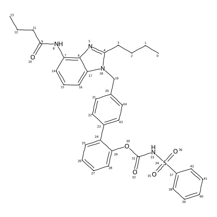 CCCCc1nc2c(NC(=O)CCC)cccc2n1Cc1ccc(-c2ccccc2OC(=O)NS(=O)(=O)c2ccccc2)cc1